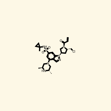 C=CC(=O)N1C[C@H](n2ncc3c(N4C[C@H](C)N[C@@H](C)C4)cc(S(=O)(=O)NC4(C)CC4)cc32)C[C@H]1CCl